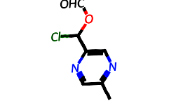 Cc1cnc(C(Cl)OC=O)cn1